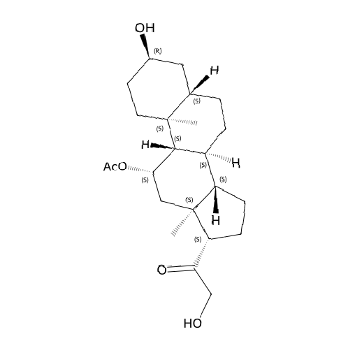 CC(=O)O[C@H]1C[C@]2(C)[C@@H](C(=O)CO)CC[C@H]2[C@@H]2CC[C@H]3C[C@H](O)CC[C@]3(C)[C@H]21